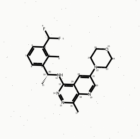 Cc1c(C(F)F)cccc1[C@@H](C)Nc1nnc(C)c2ncc(N3CCOCC3)cc12